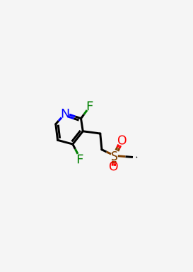 [CH2]S(=O)(=O)CCc1c(F)ccnc1F